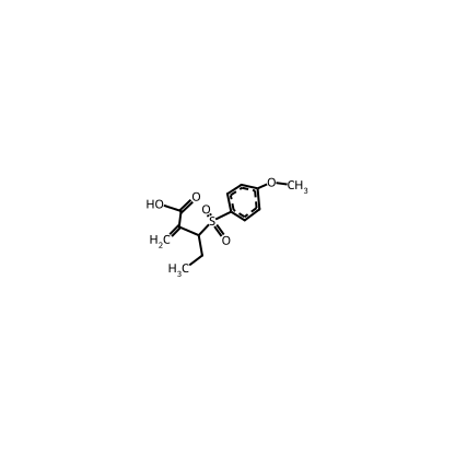 C=C(C(=O)O)C(CC)S(=O)(=O)c1ccc(OC)cc1